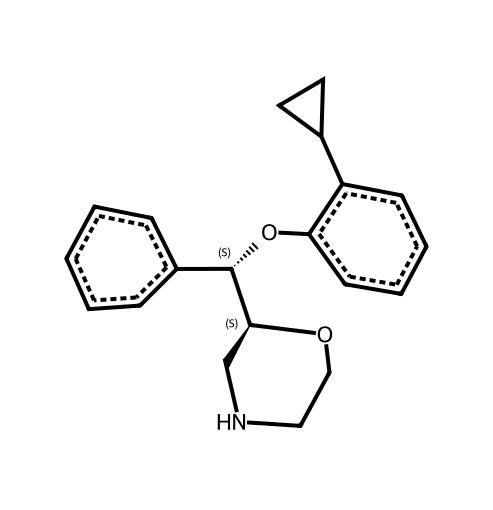 c1ccc([C@H](Oc2ccccc2C2CC2)[C@@H]2CNCCO2)cc1